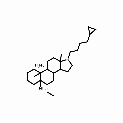 CC[C@H]1CC2C3CCN(CCCCC4CC4)C3(C)CC[C@]2(N)C2(C)CCCCC12N